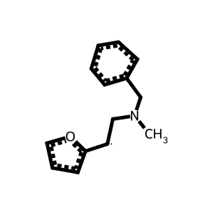 CN(C[CH]c1ccco1)Cc1ccccc1